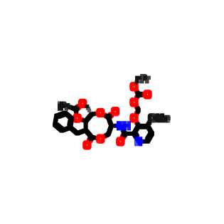 CCCOC(=O)OCOc1c(OC)ccnc1C(=O)N[C@H]1COC(=O)C(Cc2ccccc2)[C@@H](OC(=O)C(C)C)[C@H](C)OC1=O